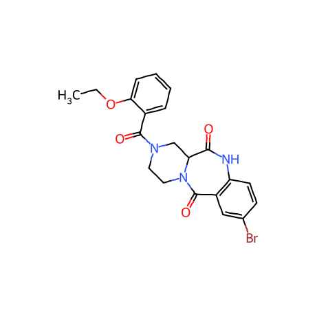 CCOc1ccccc1C(=O)N1CCN2C(=O)c3cc(Br)ccc3NC(=O)C2C1